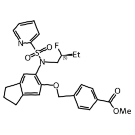 CC[C@H](F)CN(c1cc2c(cc1OCc1ccc(C(=O)OC)cc1)CCC2)S(=O)(=O)c1ccccn1